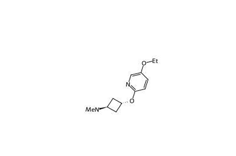 CCOc1ccc(O[C@H]2C[C@H](NC)C2)nc1